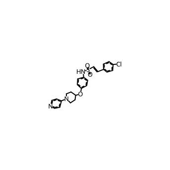 O=S(=O)(C=Cc1ccc(Cl)cc1)Nc1ccc(OC2CCN(c3ccncc3)CC2)cc1